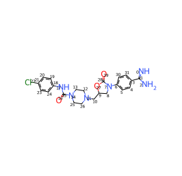 N=C(N)c1ccc(N2CC(CN3CCN(C(=O)Nc4ccc(Cl)cc4)CC3)OC2=O)cc1